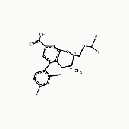 C[C@@H]1Cc2c(-c3ccc(F)cc3F)cc(C(=O)O)nc2O[C@H]1COC(F)F